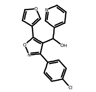 OC(c1cccnc1)c1c(-c2ccc(Cl)cc2)noc1-c1ccoc1